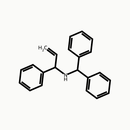 C=CC(NC(c1ccccc1)c1ccccc1)c1ccccc1